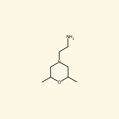 CC1CN(CCN)CC(C)O1